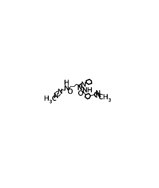 CN1CCN(CCNC(=O)CCCc2cn(-c3ccccc3)c(NC(=O)c3cccc(-c4cnn(C)c4)c3)n2)CC1